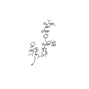 C#CCCCCN(C(=O)[C@@H](NC(=O)[C@H]1CCCCN1C)[C@@H](C)CC)[C@H](C[C@@H](OC(C)=O)c1nc(C(=O)N[C@@H](Cc2ccc(NC(=O)[C@H](C)NC(=O)[C@@H](N)C(C)C)cc2)CC(C)(C)C(=O)O)cs1)C(C)C